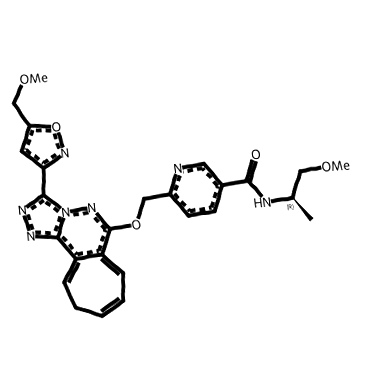 COCc1cc(-c2nnc3c4c(c(OCc5ccc(C(=O)N[C@H](C)COC)cn5)nn23)=CC=CCC=4)no1